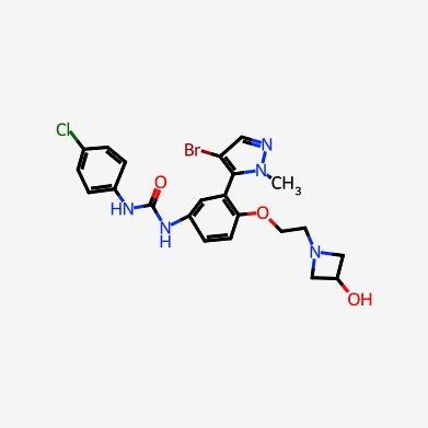 Cn1ncc(Br)c1-c1cc(NC(=O)Nc2ccc(Cl)cc2)ccc1OCCN1CC(O)C1